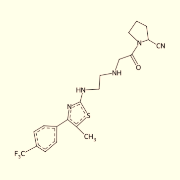 Cc1sc(NCCNCC(=O)N2CCCC2C#N)nc1-c1ccc(C(F)(F)F)cc1